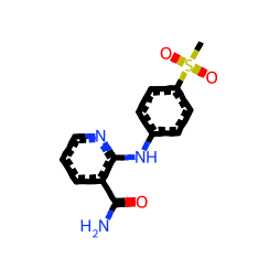 CS(=O)(=O)c1ccc(Nc2ncccc2C(N)=O)cc1